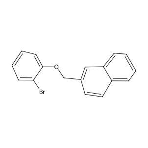 Brc1ccccc1OCc1ccc2ccccc2c1